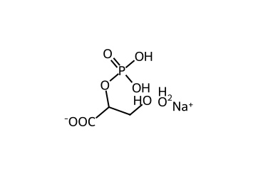 O.O=C([O-])C(CO)OP(=O)(O)O.[Na+]